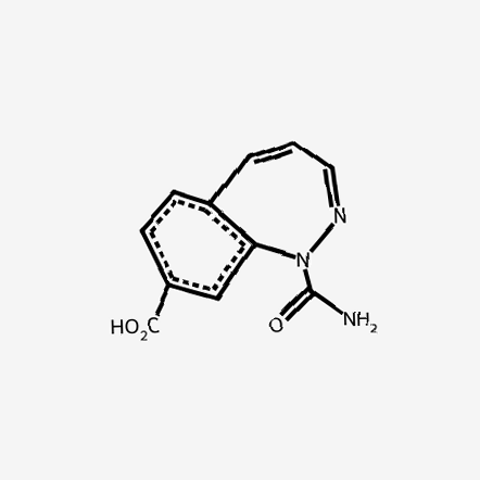 NC(=O)N1N=CC=Cc2ccc(C(=O)O)cc21